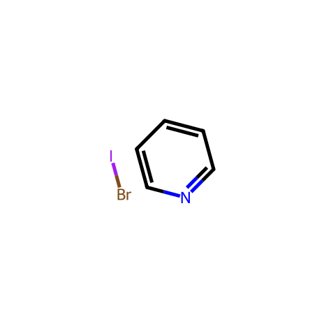 BrI.c1ccncc1